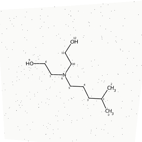 CC(C)CCCN(CCO)CCO